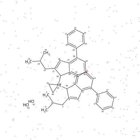 CC(C)CC1=Cc2c(-c3ccccc3)cccc2[CH]1[Hf]1([CH]2C(CC(C)C)=Cc3c(-c4ccccc4)cccc32)[CH2][CH2]1.Cl.Cl